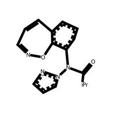 CC(C)C(=O)N(c1cccc2c1ON=CC=C2)n1cccn1